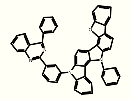 c1ccc(-c2nc(-c3cccc(-n4c5ccccc5c5c4ccc4c6c7oc8ccccc8c7ccc6n(-c6ccccc6)c45)c3)nc3ccccc23)cc1